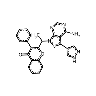 CC(c1oc2ccccc2c(=O)c1-c1ccccc1)n1nc(-c2cn[nH]c2)c2c(N)ncnc21